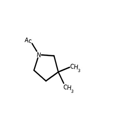 CC(=O)N1CCC(C)(C)C1